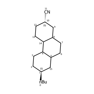 CCCC[C@H]1CCC2C(CCC3C[C@@H](C#N)CCC32)C1